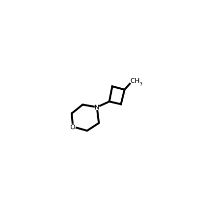 CC1CC(N2CCOCC2)C1